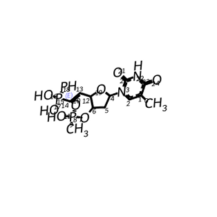 Cc1cn(C2CC(OP(C)(=O)O)C(/C=C/P(O)(O)=P)O2)c(=O)[nH]c1=O